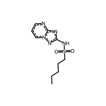 CCCCCS(=O)(=O)Nc1nc2ncccn2n1